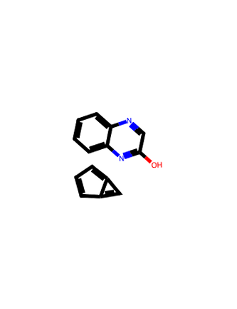 Oc1cnc2ccccc2n1.c1cc2cc-2c1